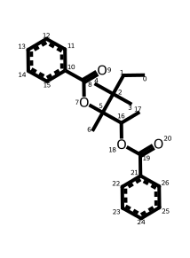 CCC(C)(C)C(C)(OC(=O)c1ccccc1)C(C)OC(=O)c1ccccc1